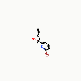 C=CCCC(C)(O)c1cccc(Br)n1